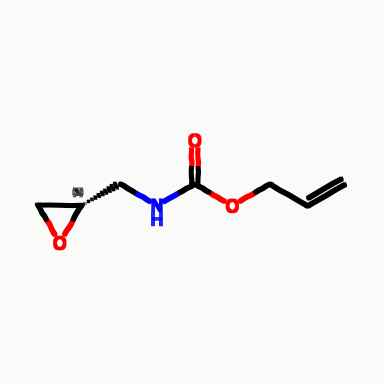 C=CCOC(=O)NC[C@H]1CO1